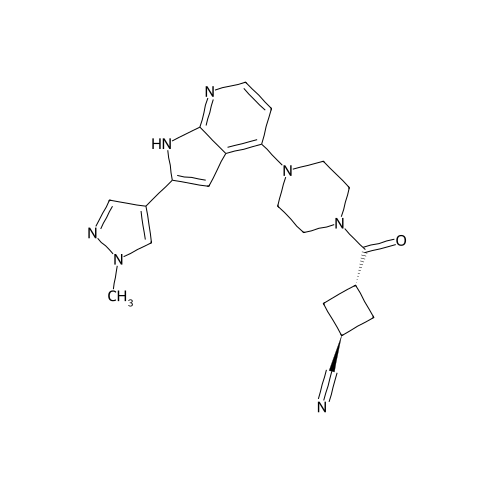 Cn1cc(-c2cc3c(N4CCN(C(=O)[C@H]5C[C@H](C#N)C5)CC4)ccnc3[nH]2)cn1